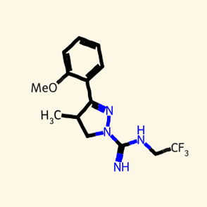 COc1ccccc1C1=NN(C(=N)NCC(F)(F)F)CC1C